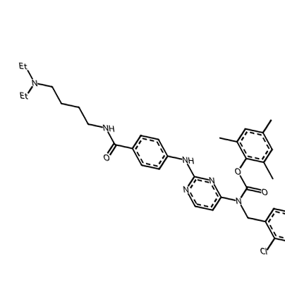 CCN(CC)CCCCNC(=O)c1ccc(Nc2nccc(N(Cc3cc(Cl)ccc3Cl)C(=O)Oc3c(C)cc(C)cc3C)n2)cc1